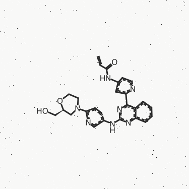 C=CC(=O)Nc1ccnc(-c2nc(Nc3ccc(N4CCO[C@H](CO)C4)nc3)nc3ccccc23)c1